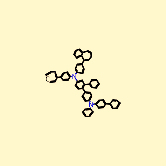 C1=CCC=CC(c2ccc(N(c3ccc(C4=CCC=Cc5ccccc54)cc3)c3ccc(-c4ccc(N(c5ccccc5)c5ccc(-c6ccccc6)cc5)cc4)c(-c4ccccc4)c3)cc2)=C1